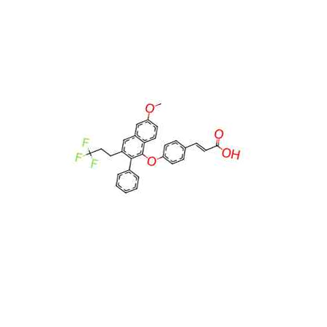 COc1ccc2c(Oc3ccc(/C=C/C(=O)O)cc3)c(-c3ccccc3)c(CCC(F)(F)F)cc2c1